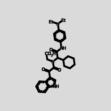 CCN(CC)c1ccc(NC(=O)C(C2CCCCC2)N(CC(=O)O)C(=O)C(=O)c2c[nH]c3ccccc23)cc1